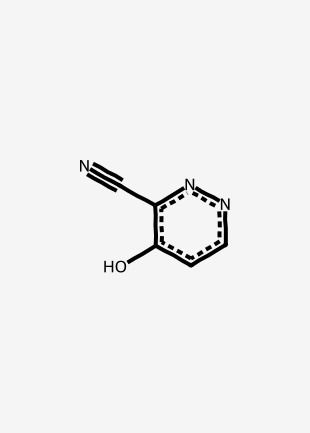 N#Cc1nnccc1O